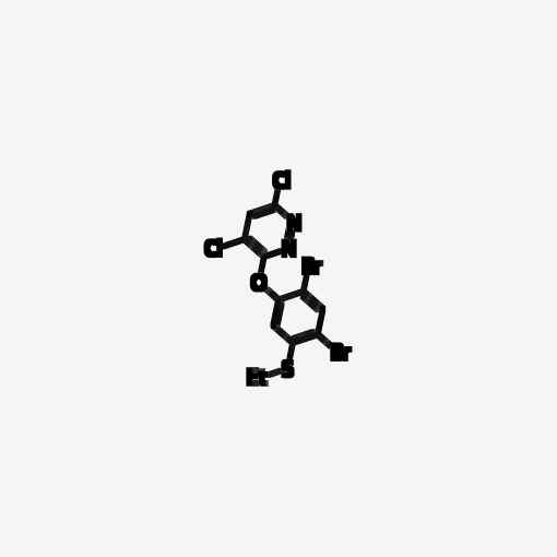 CCSc1cc(Oc2nnc(Cl)cc2Cl)c(Br)cc1Br